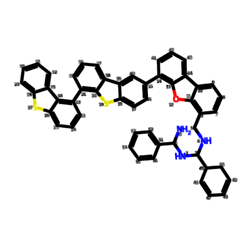 NC(NC(NCc1cccc2c1oc1c(-c3ccc4sc5c(-c6cccc7sc8ccccc8c67)cccc5c4c3)cccc12)C1C=CC=CC1)c1ccccc1